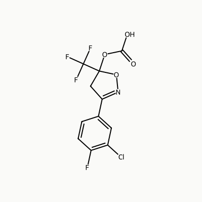 O=C(O)OC1(C(F)(F)F)CC(c2ccc(F)c(Cl)c2)=NO1